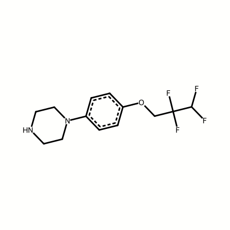 FC(F)C(F)(F)COc1ccc(N2CCNCC2)cc1